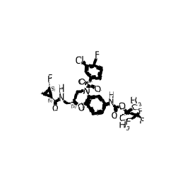 CC(C)(OC(=O)Nc1ccc2c(c1)N(S(=O)(=O)c1ccc(F)c(Cl)c1)C[C@H](CNC(=O)[C@@H]1C[C@@H]1F)O2)C(F)(F)F